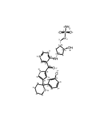 NS(=O)(=O)OC[C@H]1C[C@@H](Nc2ncncc2C(=O)c2cc(C3(c4cccc(Cl)c4)CCCCO3)cs2)C[C@@H]1O